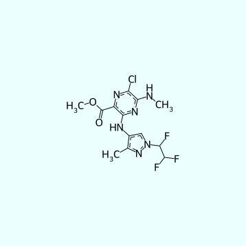 CNc1nc(Nc2cn(C(F)C(F)F)nc2C)c(C(=O)OC)nc1Cl